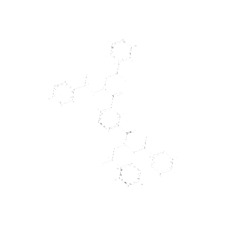 CC(CN(CC(C)c1ccccc1)C(=O)c1ccnc(C(=O)N(CC(C)c2ccccc2)CC(C)c2ccccc2)c1)c1ccccc1